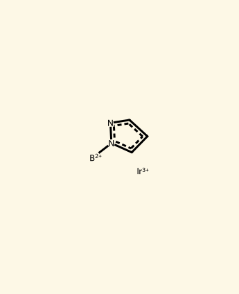 [B+2]n1cccn1.[Ir+3]